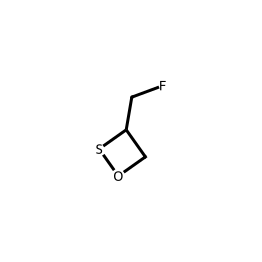 FCC1COS1